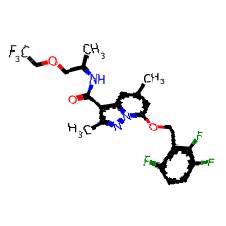 Cc1cc(OCc2c(F)ccc(F)c2F)n2nc(C)c(C(=O)NC(C)COCC(F)(F)F)c2c1